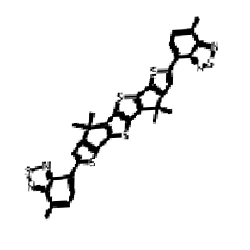 Cc1ccc(-c2cc3c(s2)-c2sc4c5c(sc4c2C3(C)C)-c2sc(-c3ccc(C)c4nsnc34)cc2C5(C)C)c2nsnc12